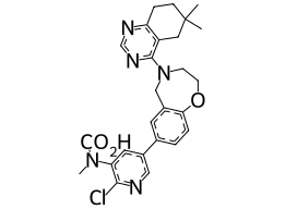 CN(C(=O)O)c1cc(-c2ccc3c(c2)CN(c2ncnc4c2CC(C)(C)CC4)CCO3)cnc1Cl